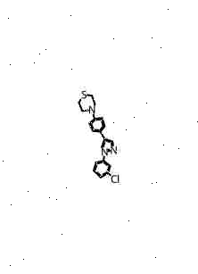 Clc1cccc(-n2cc(-c3ccc(N4CCSCC4)cc3)cn2)c1